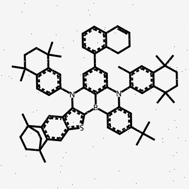 Cc1cc2c(cc1N1c3cc(C(C)(C)C)ccc3B3c4sc5cc6c(cc5c4N(c4ccc5c(c4)C(C)(C)CCC5(C)C)c4cc(-c5cccc7c5CCC=C7)cc1c43)C1(C)CCC6(C)CC1)C(C)(C)CCC2(C)C